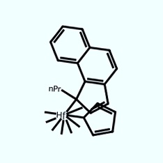 CCC[C]1([Hf]([CH3])([CH3])([CH3])([CH3])([CH3])([CH3])([CH3])[CH]2C=CC=C2)C=Cc2ccc3ccccc3c21